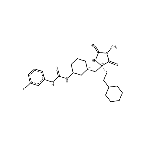 CN1C(=N)N[C@](CCC2CCCCC2)(C[C@H]2CCCC(NC(=O)Nc3cccc(F)c3)C2)C1=O